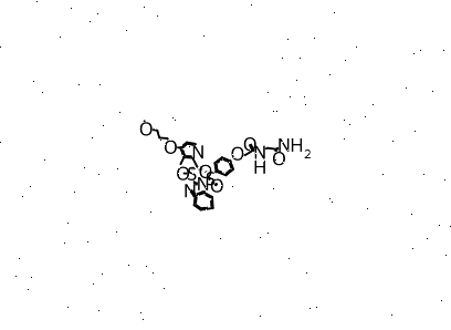 COCCCOc1ccnc(C[S+]([O-])c2nc3ccccc3n2S(=O)(=O)c2ccc(OCC(=O)NCC(N)=O)cc2)c1C